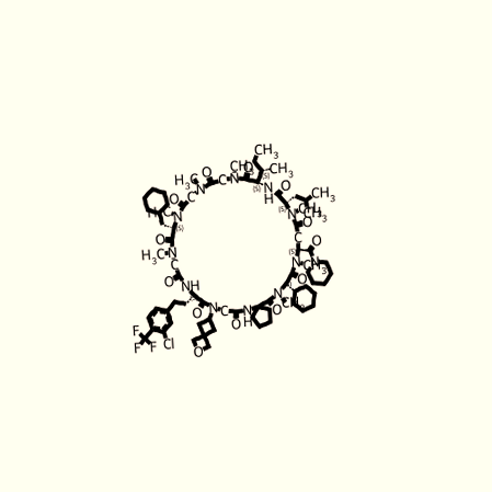 CC[C@H](C)[C@@H]1NC(=O)[C@H](CC(C)C)N(C)C(=O)C[C@@H](C(=O)N2CCCCC2)N(C)C(=O)[C@H](C2CCCCC2)N(C)C(=O)C2(CCCC2)NC(=O)CN(C2CC3(COC3)C2)C(=O)[C@H](CCc2ccc(C(F)(F)F)c(Cl)c2)NC(=O)CN(C)C(=O)[C@H](CC2CCCCC2)N(C)C(=O)CN(C)C(=O)CN(C)C1=O